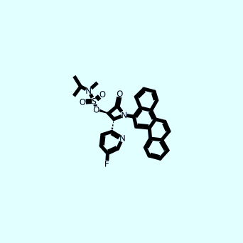 CC(C)N(C)S(=O)(=O)O[C@H]1C(=O)N(c2cc3c4ccccc4ccc3c3ccccc23)[C@@H]1c1ccc(F)cn1